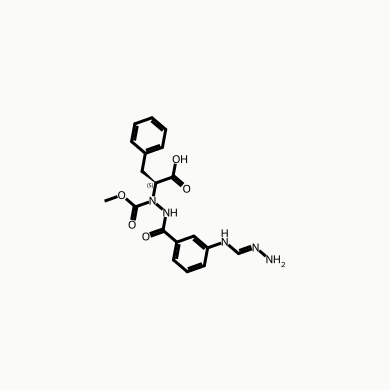 COC(=O)N(NC(=O)c1cccc(NC=NN)c1)[C@@H](Cc1ccccc1)C(=O)O